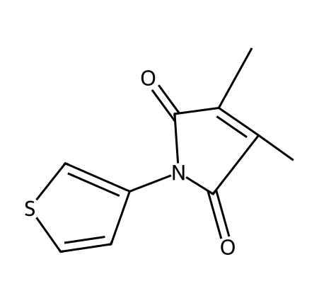 CC1=C(C)C(=O)N(c2ccsc2)C1=O